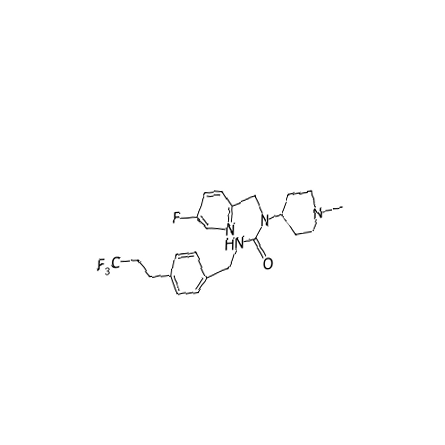 CN1CCC(N(Cc2ccc(F)cn2)C(=O)NCc2ccc(CCC(F)(F)F)cc2)CC1